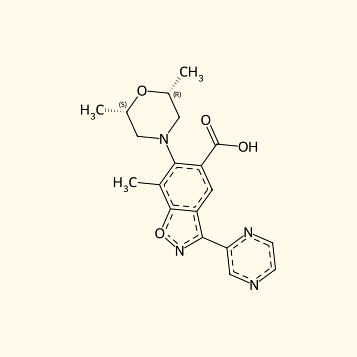 Cc1c(N2C[C@@H](C)O[C@@H](C)C2)c(C(=O)O)cc2c(-c3cnccn3)noc12